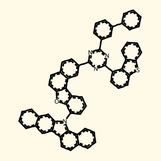 c1ccc(-c2cccc(-c3nc(-c4ccc5ccc6oc7c(-n8c9cc%10ccccc%10cc9c9ccc%10ccccc%10c98)cccc7c6c5c4)nc(-c4cccc5sc6ccccc6c45)n3)c2)cc1